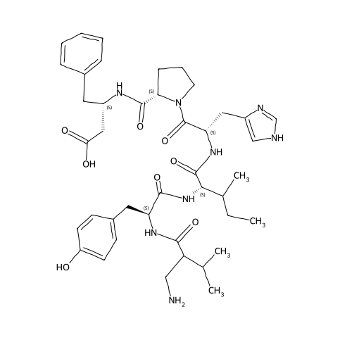 CCC(C)[C@H](NC(=O)[C@H](Cc1ccc(O)cc1)NC(=O)C(CN)C(C)C)C(=O)N[C@@H](Cc1c[nH]cn1)C(=O)N1CCC[C@H]1C(=O)N[C@H](CC(=O)O)Cc1ccccc1